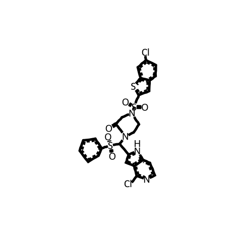 O=C1CN(S(=O)(=O)c2cc3ccc(Cl)cc3s2)CCN1C(c1cc2c(Cl)nccc2[nH]1)S(=O)(=O)c1ccccc1